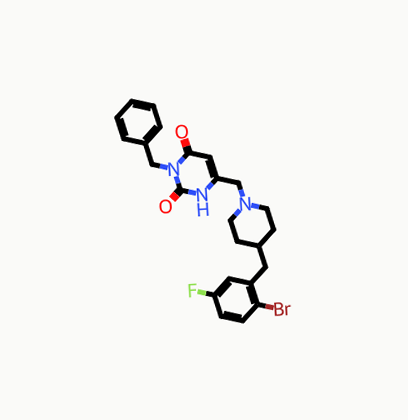 O=c1cc(CN2CCC(Cc3cc(F)ccc3Br)CC2)[nH]c(=O)n1Cc1ccccc1